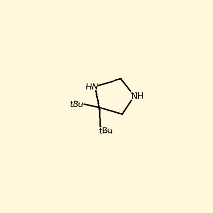 CC(C)(C)C1(C(C)(C)C)CNCN1